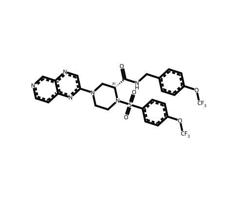 O=C(NCc1ccc(OC(F)(F)F)cc1)[C@H]1CN(c2cnc3cnccc3n2)CCN1S(=O)(=O)c1ccc(OC(F)(F)F)cc1